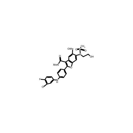 CNC(=O)c1c(-c2ccc(Nc3ccc(F)c(Cl)c3)cc2)oc2cc(N(CCO)S(C)(=O)=O)c(OC)cc12